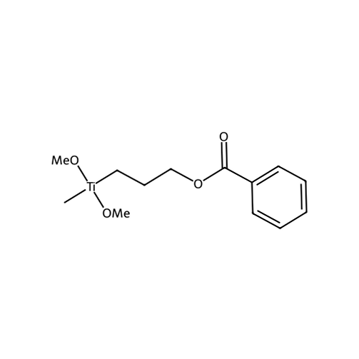 C[O][Ti]([CH3])([CH2]CCOC(=O)c1ccccc1)[O]C